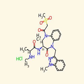 CN[C@@H](C)C(=O)N[C@@H]1C(=O)N(Cc2nn(C)c3ccccc23)c2ccccc2N(C(=O)CS(C)(=O)=O)[C@H]1C.Cl